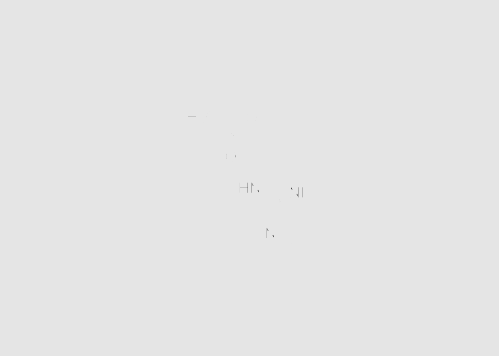 CC(=O)OCNC(=N)N